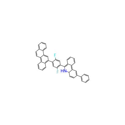 Fc1cc(-c2cc3c4ccccc4ccc3c3ccccc23)c(F)cc1C1=c2ccccc2=C2C=C(c3ccccc3)C=CC2N1